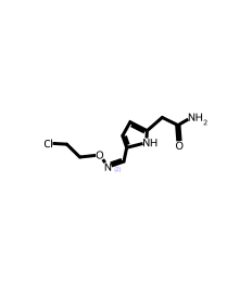 NC(=O)Cc1ccc(/C=N\OCCCl)[nH]1